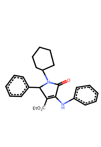 CCOC(=O)C1=C(Nc2ccccc2)C(=O)N(C2CCCCC2)C1c1ccccc1